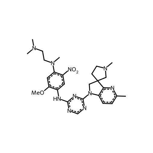 COc1cc(N(C)CCN(C)C)c([N+](=O)[O-])cc1Nc1ncnc(N2CC3(CCN(C)C3)c3nc(C)ccc32)n1